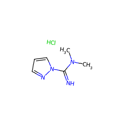 CN(C)C(=N)n1cccn1.Cl